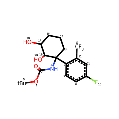 CC(C)(C)OC(=O)NC1(c2ccc(F)cc2C(F)(F)F)CCCC(O)C1O